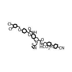 N#Cc1ccc(-c2ccc(CC(NC(=O)C3Cc4cc5c(cc4CN3Cc3nccs3)OC(c3ccc(OCc4ccc(Cl)c(Cl)c4)cc3)C(=O)N5)C(=O)O)cc2)cc1